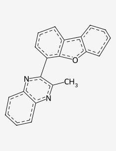 Cc1nc2ccccc2nc1-c1cccc2c1oc1ccccc12